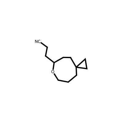 N#CCCC1CCC2(CCCO1)CC2